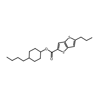 CCCCC1CCC(OC(=O)c2cc3sc(CCC)cc3s2)CC1